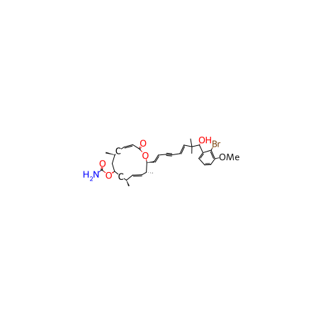 COc1cccc([C@@H](O)C(C)(C)/C=C/C#C/C=C/[C@@H]2OC(=O)/C=C\C[C@H](C)C[C@H](OC(N)=O)C[C@H](C)/C=C/[C@H]2C)c1Br